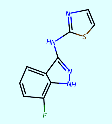 Fc1cccc2c(Nc3nccs3)n[nH]c12